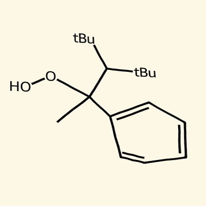 CC(C)(C)C(C(C)(C)C)C(C)(OO)c1ccccc1